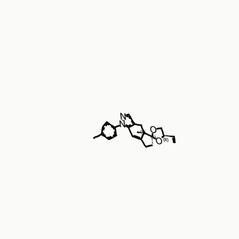 C=C[C@@H]1CO[C@@]2(CCC3=Cc4c(cnn4-c4ccc(C)cc4)C[C@@]32C)O1